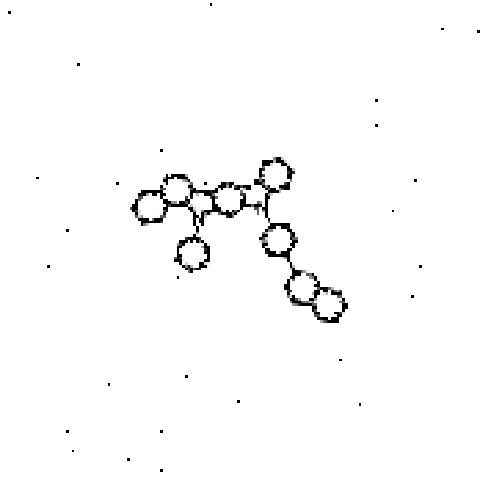 c1ccc(-n2c3cc4c(cc3c3ccc5ccccc5c32)c2ccccc2n4-c2ccc(-c3ccc4ccccc4c3)cc2)cc1